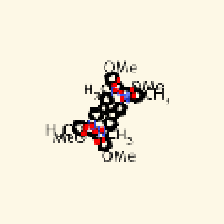 COc1ccc(N(c2cccc(OC)c2)c2ccc3c(c2)C2(c4cc(N(c5ccc(C)cc5)c5cccc(C)c5)ccc4-3)c3cc(N(c4ccc(C)cc4)c4cccc(C)c4)ccc3-c3ccc(N(c4ccc(OC)cc4)c4cccc(OC)c4)cc32)cc1